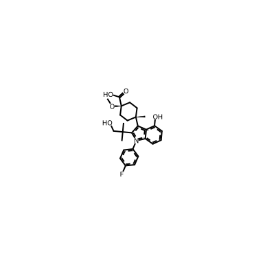 CO[C@]1(C(=O)O)CC[C@@](C)(c2c(C(C)(C)CO)n(-c3ccc(F)cc3)c3cccc(O)c32)CC1